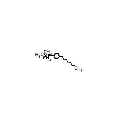 CCCCCCCCc1ccc(C#C[Si](C)(C)C)cc1